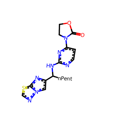 CCCCCC(Nc1nccc(N2CCOC2=O)n1)c1cn2ncsc2n1